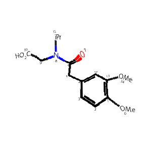 COc1ccc(CC(=O)N(CC(=O)O)C(C)C)cc1OC